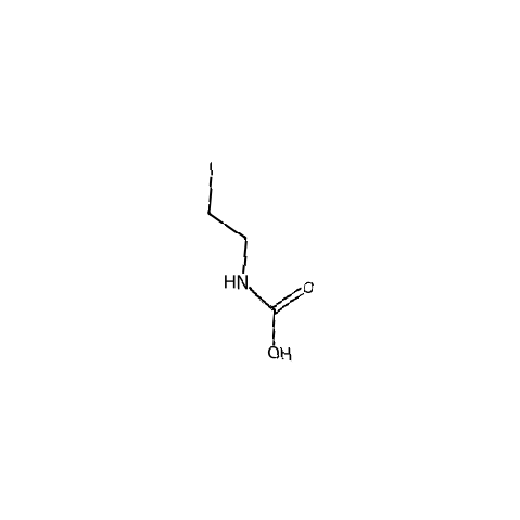 O=C(O)NCCI